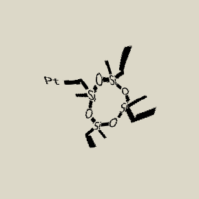 C=C[Si]1(C)O[Si](C)(C=C)O[Si](C)(C=C)O[Si](C)(C=C)O1.[Pt]